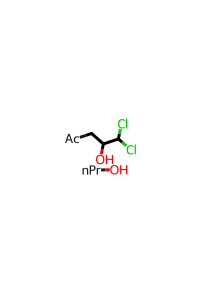 CC(=O)CC(O)C(Cl)Cl.CCCO